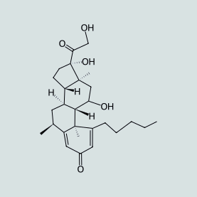 CCCCCC1=CC(=O)C=C2[C@@H](C)C[C@@H]3[C@H](C(O)C[C@@]4(C)[C@H]3CC[C@@]4(O)C(=O)CO)[C@@]12C